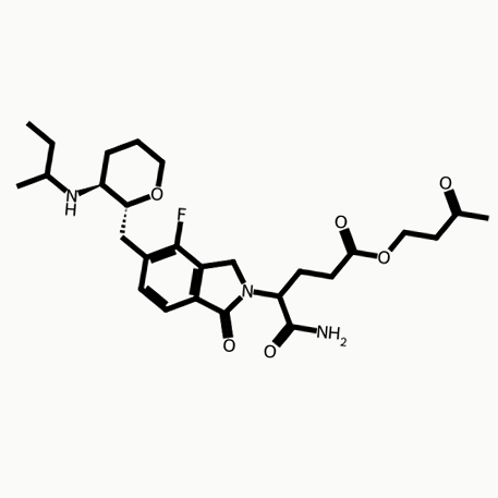 CCC(C)N[C@H]1CCCO[C@@H]1Cc1ccc2c(c1F)CN(C(CCC(=O)OCCC(C)=O)C(N)=O)C2=O